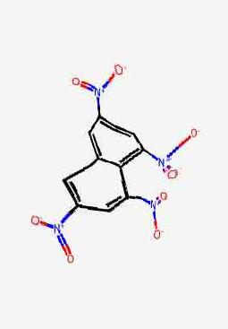 O=[N+]([O-])c1cc([N+](=O)[O-])c2c([N+](=O)[O-])cc([N+](=O)[O-])cc2c1